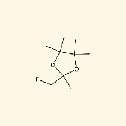 CC1(CF)OC(C)(C)C(C)(C)O1